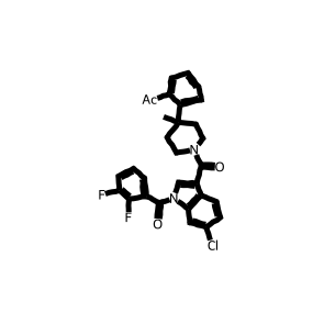 CC(=O)c1ccccc1C1(C)CCN(C(=O)c2cn(C(=O)c3cccc(F)c3F)c3cc(Cl)ccc23)CC1